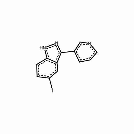 Ic1ccc2[nH]nc(-c3cccnc3)c2c1